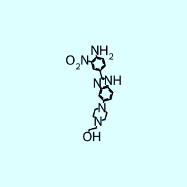 Nc1ccc(-c2nc3cc(N4CCN(CCO)CC4)ccc3[nH]2)cc1[N+](=O)[O-]